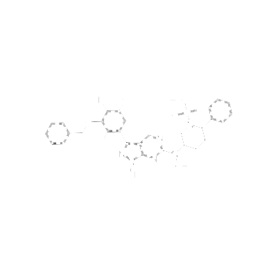 CN(c1ncc2c(-c3cc(C(F)(F)F)c(F)c(OCc4ccccc4)c3F)nn(C)c2n1)C1CCC(c2ccccc2)N(S(C)(=O)=O)C1